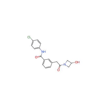 O=C(Nc1ccc(Cl)cc1)c1cccc(CC(=O)N2CC(O)C2)c1